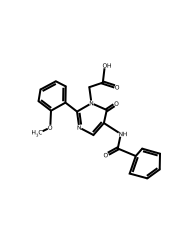 COc1ccccc1-c1ncc(NC(=O)c2ccccc2)c(=O)n1CC(=O)O